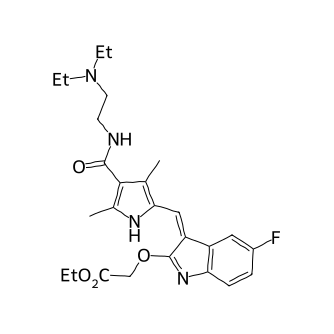 CCOC(=O)COC1=Nc2ccc(F)cc2/C1=C/c1[nH]c(C)c(C(=O)NCCN(CC)CC)c1C